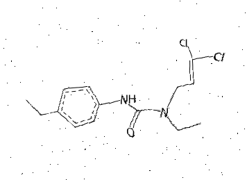 CCc1ccc(NC(=O)N(CC)CC=C(Cl)Cl)cc1